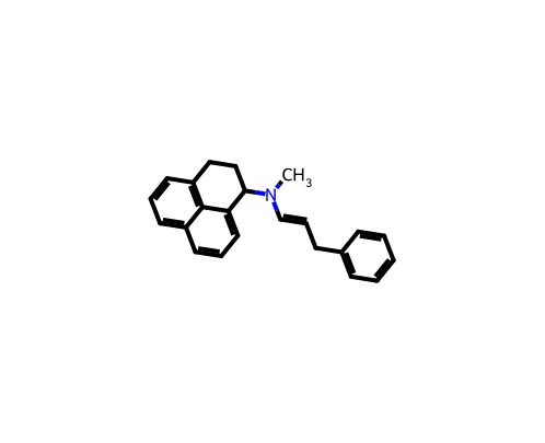 CN(C=CCc1ccccc1)C1CCc2cccc3cccc1c23